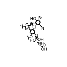 CC(C)Oc1cc(-n2nc(C(C)(C)C)oc2=O)c(Cl)cc1Cl.N#Cc1cc(Br)c(O)c(Br)c1.O=C(O)CNCP(=O)(O)O